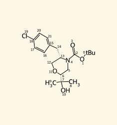 CC(C)(C)OC(=O)N1C[C@H](C(C)(C)O)OC[C@@H]1Cc1ccc(Cl)cc1